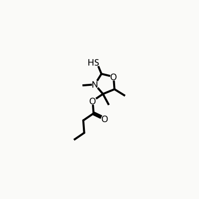 CCCC(=O)OC1(C)C(C)OC(S)N1C